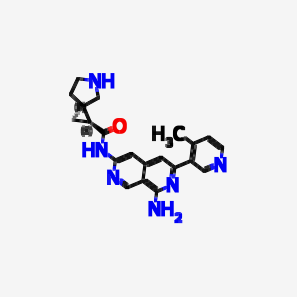 Cc1ccncc1-c1cc2cc(NC(=O)[C@H]3C[C@@]34CCNC4)ncc2c(N)n1